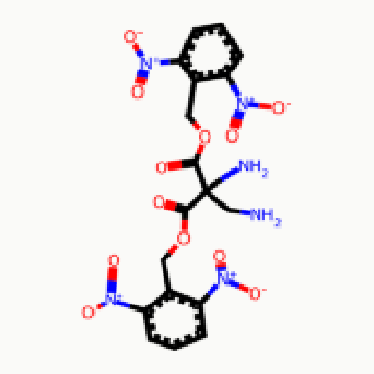 NCC(N)(C(=O)OCc1c([N+](=O)[O-])cccc1[N+](=O)[O-])C(=O)OCc1c([N+](=O)[O-])cccc1[N+](=O)[O-]